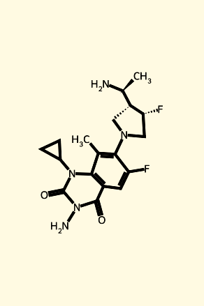 Cc1c(N2C[C@H]([C@H](C)N)[C@H](F)C2)c(F)cc2c(=O)n(N)c(=O)n(C3CC3)c12